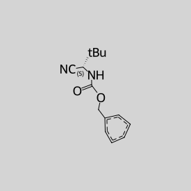 CC(C)(C)[C@@H](C#N)NC(=O)OCc1ccccc1